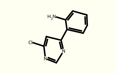 Nc1ccccc1-c1cc(Cl)ncn1